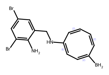 BC1=C/C=C(NCc2cc(Br)cc(Br)c2N)\C=C/C=C\1